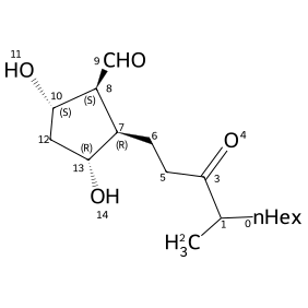 CCCCCCC(C)C(=O)CC[C@@H]1[C@H](C=O)[C@@H](O)C[C@H]1O